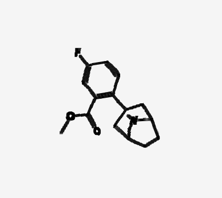 COC(=O)c1cc(F)ccc1C1CC2CCC(C1)N2C